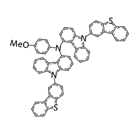 COc1ccc(N(c2cccc3c2c2ccccc2n3-c2ccc3sc4ccccc4c3c2)c2cccc3c2c2ccccc2n3-c2ccc3sc4ccccc4c3c2)cc1